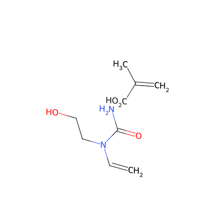 C=C(C)C(=O)O.C=CN(CCO)C(N)=O